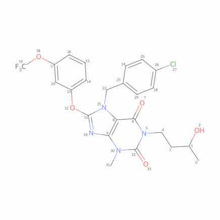 CC(O)CCn1c(=O)c2c(nc(Oc3cccc(OC(F)(F)F)c3)n2Cc2ccc(Cl)cc2)n(C)c1=O